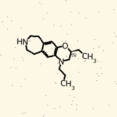 CCCN1C[C@H](CC)Oc2cc3c(cc21)CCNCC3